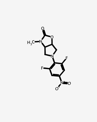 CN1C(=O)OC2CN(c3c(F)cc([N+](=O)[O-])cc3F)CC21